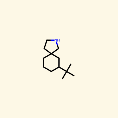 CC(C)(C)C1CCCC2(CCNC2)C1